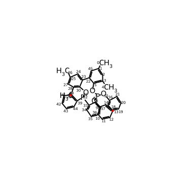 Cc1cc(C)c(OP(Oc2ccccc2)Oc2ccccc2)c(-c2cc(C)cc(C)c2OP(c2ccccc2)c2ccccc2)c1